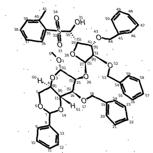 CO[C@H]1O[C@@H]2COC(c3ccccc3)O[C@H]2[C@H](OCc2ccccc2)[C@@H]1O[C@H]1O[C@H](C(O)S(=O)(=O)c2ccccc2C)[C@H](OCc2ccccc2)[C@H]1OCc1ccccc1